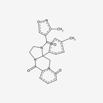 Cc1ccc(C23Cn4c(cccc4=O)C(=O)N2CCN3C(=O)c2conc2C)cc1